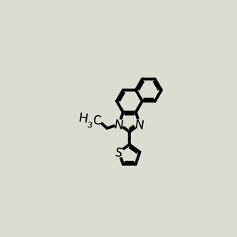 CCn1c(-c2cccs2)nc2c3ccccc3ccc21